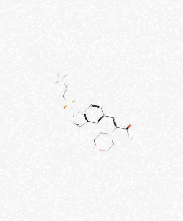 C[Si](C)(C)CCS(=O)(=O)n1ncc2cc(C=C(C(N)=O)N3CCOCC3)ccc21